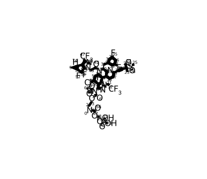 CN(CCOC(=O)N(c1nn(CC(F)(F)F)c2c(-c3ccc(C#CC(C)(C)S(C)(=O)=O)nc3[C@H](Cc3cc(F)cc(F)c3)NC(=O)Cn3nc(C(F)(F)F)c4c3C(F)(F)C3C[C@H]43)ccc(Cl)c12)S(C)(=O)=O)C(=O)OCOP(=O)(O)O